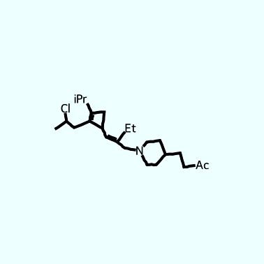 CC/C(=C\C1CC(C(C)C)=C1CC(C)Cl)CN1CCC(CCC(C)=O)CC1